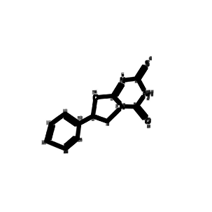 O=c1[nH]c(=S)nc2n1CC(c1ccccc1)O2